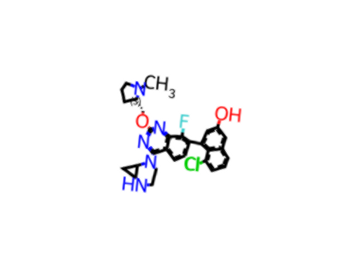 CN1CCC[C@H]1COc1nc(N2CCNC3CC32)c2cc(Cl)c(-c3cc(O)cc4cccc(Cl)c34)c(F)c2n1